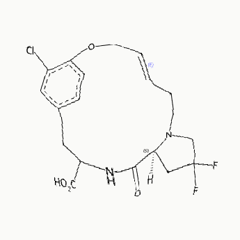 O=C(O)C1Cc2ccc(c(Cl)c2)OC/C=C/CCN2CC(F)(F)C[C@H]2C(=O)N1